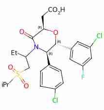 CCC(CS(=O)(=O)C(C)C)N1C(=O)[C@@H](CC(=O)O)O[C@H](c2cc(F)cc(Cl)c2)[C@H]1c1ccc(Cl)cc1